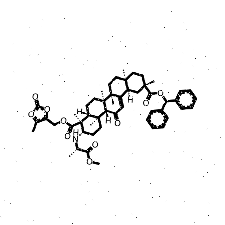 COC(=O)[C@H](C)N[C@H]1CC[C@@]2(C)[C@@H](CC[C@]3(C)[C@@H]2C(=O)C=C2[C@@H]4C[C@@](C)(C(=O)OC(c5ccccc5)c5ccccc5)CC[C@]4(C)CC[C@]23C)[C@]1(C)C(=O)OCc1oc(=O)oc1C